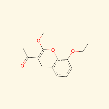 CCOc1cccc2c1OC(OC)=C(C(C)=O)C2